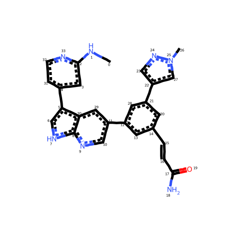 CNc1cc(-c2c[nH]c3ncc(-c4cc(C=CC(N)=O)cc(-c5cnn(C)c5)c4)cc23)ccn1